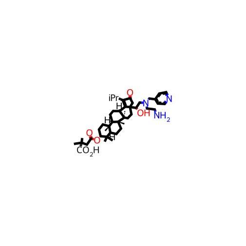 CC(C)C1=C2[C@H]3CC[C@@H]4[C@@]5(C)CC[C@H](OC(=O)CC(C)(C)C(=O)O)C(C)(C)[C@@H]5CC[C@@]4(C)[C@]3(C)CCC2(C(O)CN(CCN)Cc2ccncc2)CC1=O